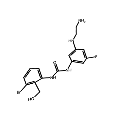 NCCNc1cc(F)cc(NC(=O)Nc2cccc(Br)c2CO)c1